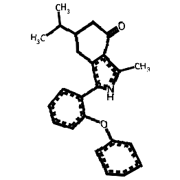 Cc1[nH]c(-c2ccccc2Oc2ccccc2)c2c1C(=O)CC(C(C)C)C2